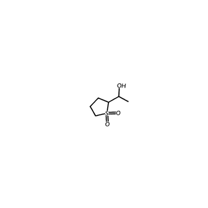 CC(O)C1CCCS1(=O)=O